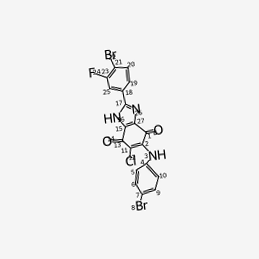 O=C1C(Nc2ccc(Br)cc2)=C(Cl)C(=O)c2[nH]c(-c3ccc(Br)c(F)c3)nc21